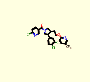 O=C(c1ccc(Cl)nc1)N1CC(CCOc2ccc(C(F)(F)F)cn2)C(c2ccc(Cl)c(Cl)c2)C1